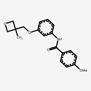 COc1ccc(C(=O)Nc2cccc(OCC3(C)COC3)c2)cc1